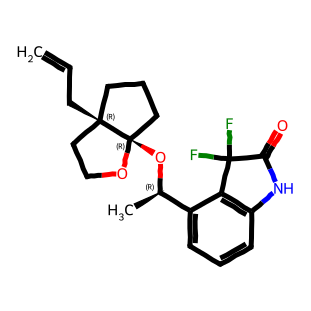 C=CC[C@@]12CCC[C@]1(O[C@H](C)c1cccc3c1C(F)(F)C(=O)N3)OCC2